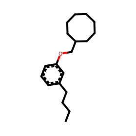 CCCCc1cccc(OCC2CCCCCCC2)c1